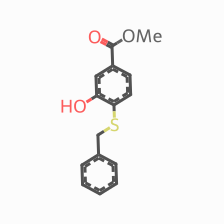 COC(=O)c1ccc(SCc2ccccc2)c(O)c1